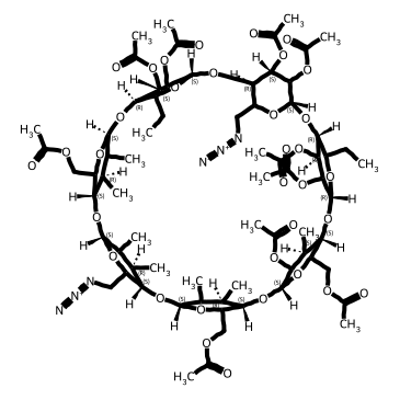 CCC1O[C@H]2O[C@@H]3C(CN=[N+]=[N-])O[C@@H](O[C@@H]4C(CC)O[C@H](O[C@@H]5C(COC(C)=O)O[C@H](O[C@@H]6C(COC(C)=O)O[C@H](O[C@@H]7C(CN=[N+]=[N-])O[C@H](O[C@@H]8C(COC(C)=O)O[C@@H](O[C@H]1[C@H](OC(C)=O)C2OC(C)=O)C(C)[C@H]8C)C(C)[C@H]7C)C(C)[C@H]6C)C(OC(C)=O)[C@H]5C)C(OC(C)=O)[C@H]4OC(C)=O)C(OC(C)=O)[C@H]3OC(C)=O